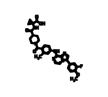 COc1ccc(-c2cnc3c(Nc4ccc(C(=O)N5CCC(C(=O)NC6(C(=O)O)CC6)CC5)c(C)c4)nccn23)cc1F